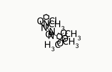 COc1cc(-c2noc(-c3nc(C=O)n(-c4ccccc4Cl)c3C)n2)cc(OC)c1OC